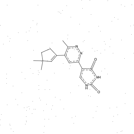 Cc1nnc(-c2c[nH]c(=O)[nH]c2=O)cc1C1=CC(C)(C)CC1